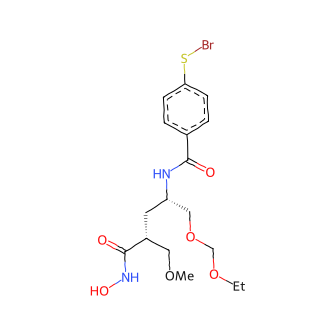 CCOCOC[C@H](C[C@H](COC)C(=O)NO)NC(=O)c1ccc(SBr)cc1